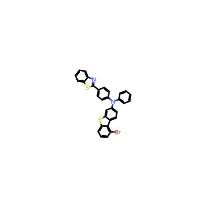 Brc1cccc2sc3cc(N(c4ccccc4)c4ccc(-c5nc6ccccc6s5)cc4)ccc3c12